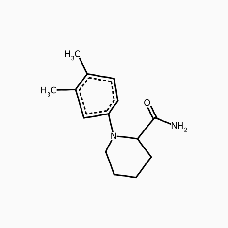 Cc1ccc(N2CCCCC2C(N)=O)cc1C